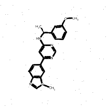 COc1cccc([C@H](C)Nc2cc(-c3ccc4ncn(C)c4c3)ncn2)c1